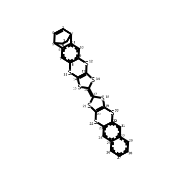 C1=CC2CCC1c1cc3c(cc12)SC1=C(SC(=C2SC4=C(S2)Sc2cc5ccccc5cc2S4)S1)S3